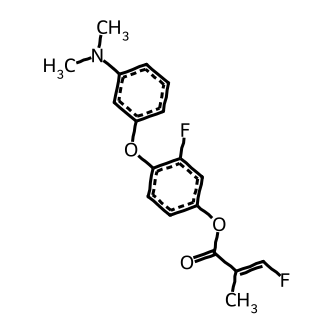 CC(=CF)C(=O)Oc1ccc(Oc2cccc(N(C)C)c2)c(F)c1